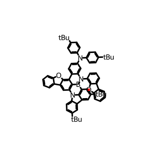 CC(C)(C)c1ccc(N(c2ccc(C(C)(C)C)cc2)c2ccc3c(c2)N(c2cccc4c2oc2ccccc24)B2c4c(cc5c(oc6ccccc65)c4-3)-n3c4ccc(C(C)(C)C)cc4c4cc(C(C)(C)C)cc2c43)cc1